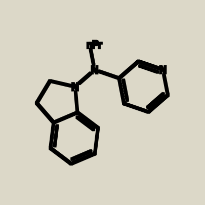 CCCN(c1cccnc1)N1CCc2ccccc21